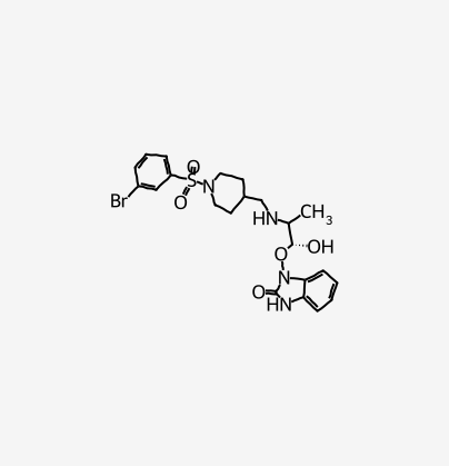 CC(NCC1CCN(S(=O)(=O)c2cccc(Br)c2)CC1)[C@H](O)On1c(=O)[nH]c2ccccc21